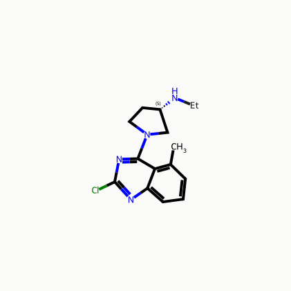 CCN[C@H]1CCN(c2nc(Cl)nc3cccc(C)c23)C1